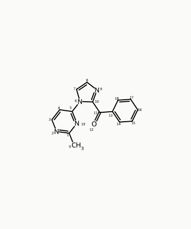 Cc1nccc(-n2ccnc2C(=O)c2ccccc2)n1